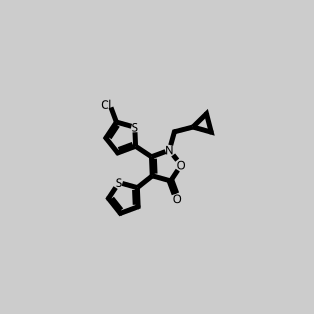 O=c1on(CC2CC2)c(-c2ccc(Cl)s2)c1-c1cccs1